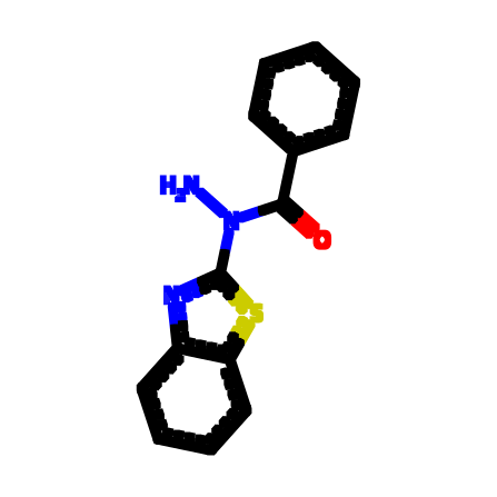 NN(C(=O)c1ccccc1)c1nc2ccccc2s1